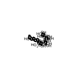 CC1OC(OC2C(OC3C(OC4C(O[C@@H]5CC[C@@]6(C)C(CCC7(C)C6CC=C6C8CC(C)(C)CC(O)C8(C)CC[C@@]67C)C5(C)CO)OC(C(=O)O)C(O)C4O)OC(CO)C(O)C3O)OC(CO)C(O)C2O)C(O)C(O)C1O